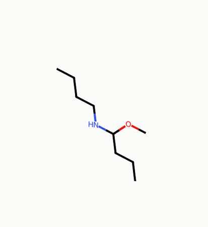 CCCCNC(CCC)OC